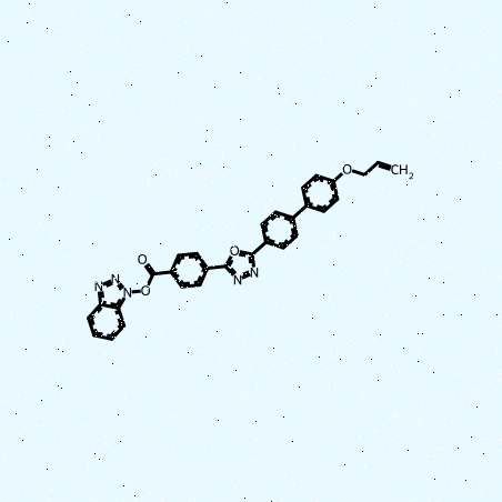 C=CCOc1ccc(-c2ccc(-c3nnc(-c4ccc(C(=O)On5nnc6ccccc65)cc4)o3)cc2)cc1